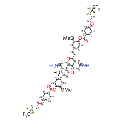 COc1cc(/C=C/C(=O)c2cc(N)ccc2-c2ccc(N)c(C)c2C(=O)/C=C/c2ccc(OC(=O)c3ccc(OCCCC(F)(F)C(F)(F)F)cc3)c(OC)c2)ccc1OC(=O)c1ccc(OCCCC(F)(F)C(F)(F)F)cc1